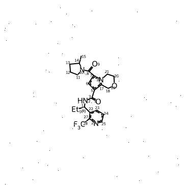 CC[C@@H](NC(=O)c1cc(C(=O)N2CCCC2C)n2c1COCC2)c1cccnc1C(F)(F)F